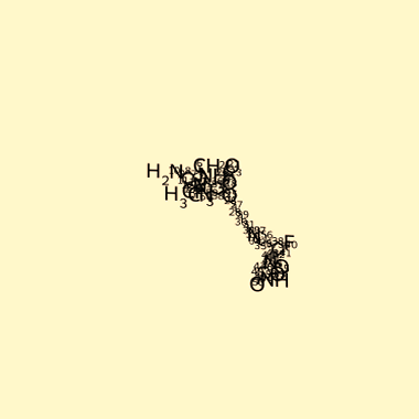 Cc1nc(N[C@H](C)c2cc(N)cc(C(F)(F)F)c2)c2cc(O[C@H]3CCOC3)c(OCCCCCCCN3CCC(c4cc(F)cc5c4CN(C4CCC(=O)NC4=O)C5=O)CC3)cc2n1